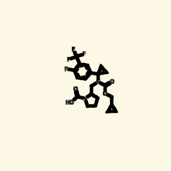 O=C(O)N1CCCC1CN(C(=O)OCC1CC1)C1(c2ccc(F)c(C(F)(F)F)c2)CC1